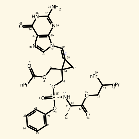 CCCC(=O)OC[C@]1(CO[P@@](=O)(N[C@@H](C)C(=O)OCC(CCC)CCC)Oc2ccccc2)C/C1=C/n1cnc2c(=O)[nH]c(N)nc21